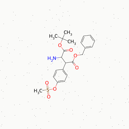 CC(C)(C)OC(=O)C(N)C(C(=O)OCc1ccccc1)c1ccc(OS(C)(=O)=O)cc1